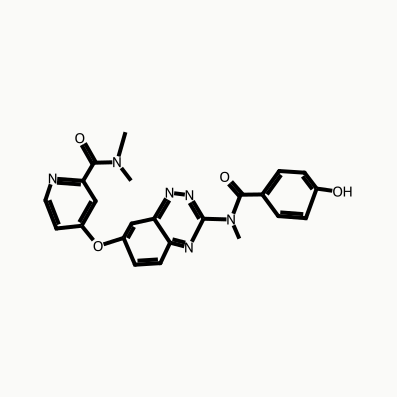 CN(C)C(=O)c1cc(Oc2ccc3nc(N(C)C(=O)c4ccc(O)cc4)nnc3c2)ccn1